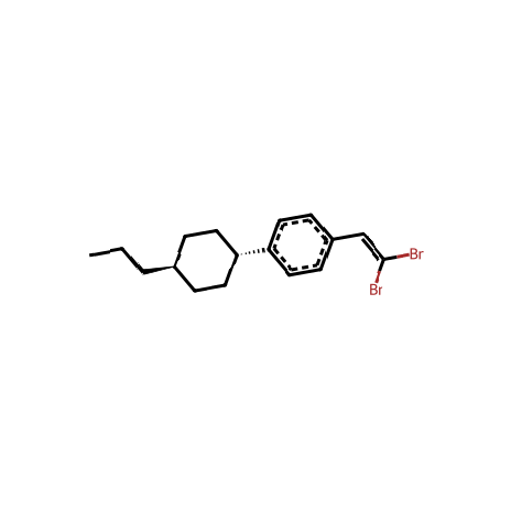 CCC[C@H]1CC[C@H](c2ccc(C=C(Br)Br)cc2)CC1